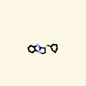 c1ccc(C[C@@H]2CCn3c2nc2ccccc23)cc1